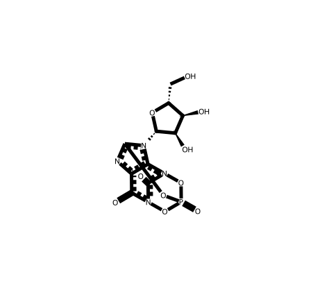 O=c1c2nc3n([C@@H]4O[C@H](CO)[C@@H](O)[C@H]4O)c2n2c(=O)n1OP(=O)(O3)O2